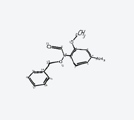 COc1cc(N)ccc1N(C=O)OCc1ccccc1